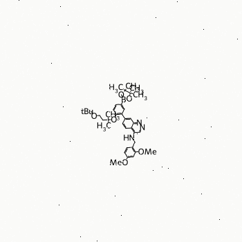 COc1ccc(CNc2cnnc3cc(-c4cc(B5OC(C)(C)C(C)(C)O5)ccc4OC(C)(C)CCOC(C)(C)C)ccc23)c(OC)c1